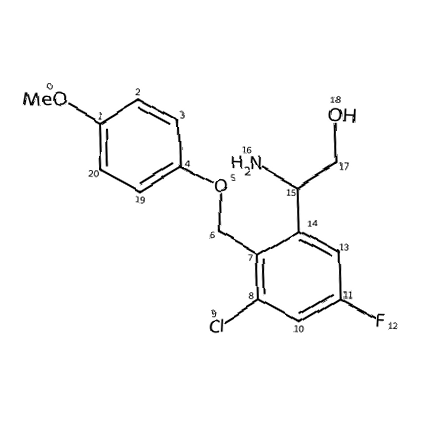 COc1ccc(OCc2c(Cl)cc(F)cc2C(N)CO)cc1